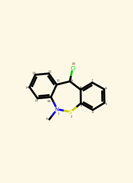 CN1Sc2ccccc2C(Cl)c2ccccc21